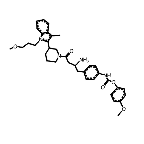 COCCCn1c(C2CCCN(C(=O)CC(N)Cc3ccc(NC(=O)Oc4ccc(OC)cc4)cc3)C2)c(C)c2ccccc21